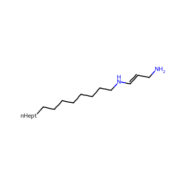 CCCCCCCCCCCCCCCNC=CCN